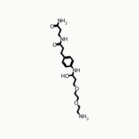 NCCOCCOCCC(O)Nc1ccc(CCC(=O)NCCC(N)=O)cc1